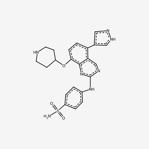 NS(=O)(=O)c1ccc(Nc2ncc3c(-c4cn[nH]c4)ccc(OC4CCNCC4)c3n2)cc1